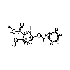 COC(=O)C(NC(=O)OCc1ccccc1)C(=O)OC